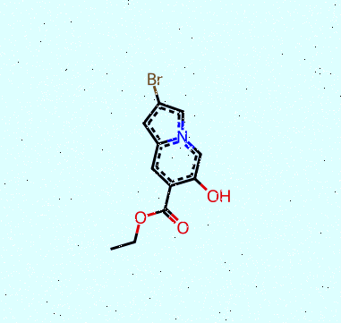 CCOC(=O)c1cc2cc(Br)cn2cc1O